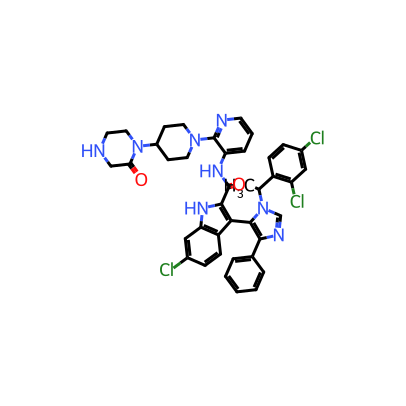 CC(c1ccc(Cl)cc1Cl)n1cnc(-c2ccccc2)c1-c1c(C(=O)Nc2cccnc2N2CCC(N3CCNCC3=O)CC2)[nH]c2cc(Cl)ccc12